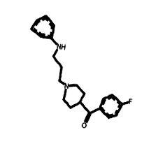 O=C(c1ccc(F)cc1)C1CCN(CCCNc2ccccc2)CC1